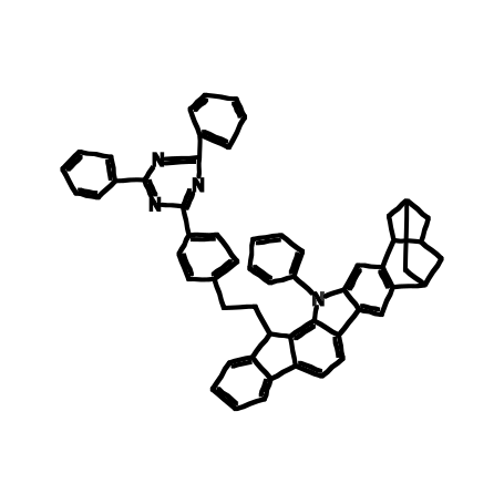 c1ccc(-c2nc(-c3ccccc3)nc(-c3ccc(CCC4c5ccccc5-c5ccc6c7cc8c(cc7n(-c7ccccc7)c6c54)C4CC5CC8CC4C5)cc3)n2)cc1